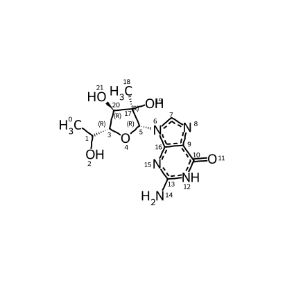 CC(O)[C@H]1O[C@@H](n2cnc3c(=O)[nH]c(N)nc32)[C@](C)(O)[C@@H]1O